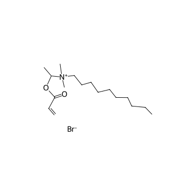 C=CC(=O)OC(C)[N+](C)(C)CCCCCCCCCC.[Br-]